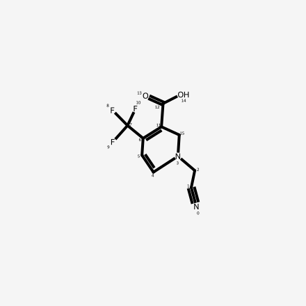 N#CCN1C=CC(C(F)(F)F)=C(C(=O)O)C1